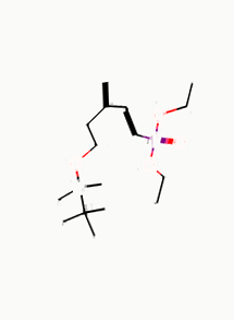 C=C(C=CP(=O)(OCC)OCC)CCO[Si](C)(C)C(C)(C)C